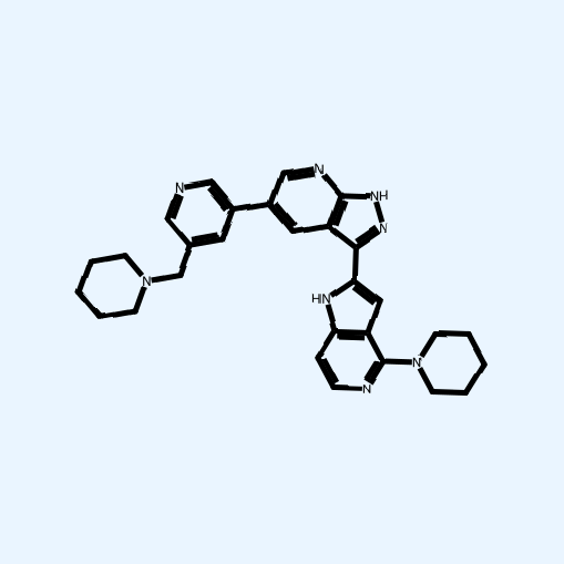 c1cc2[nH]c(-c3n[nH]c4ncc(-c5cncc(CN6CCCCC6)c5)cc34)cc2c(N2CCCCC2)n1